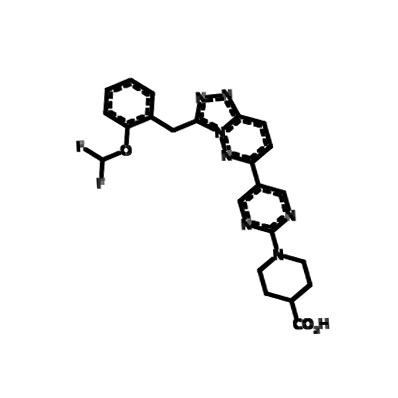 O=C(O)C1CCN(c2ncc(-c3ccc4nnc(Cc5ccccc5OC(F)F)n4n3)cn2)CC1